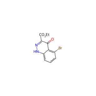 CCOC(=O)c1n[nH]c2cccc(Br)c2c1=O